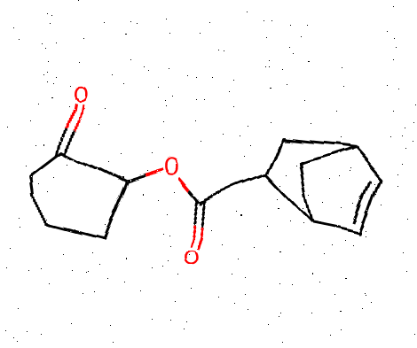 O=C1CCCC1OC(=O)C1CC2C=CC1C2